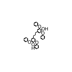 Oc1c(Oc2ccccc2)cc(CCCc2cc(Oc3ccccc3)c(O)c(Oc3ccccc3)c2)cc1Oc1ccccc1